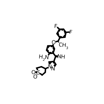 C[C@@H](Oc1ccc(N)c(C(=N)c2cnn(C3CCS(=O)(=O)CC3)c2)c1)c1cc(F)cc(F)c1